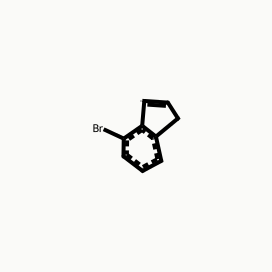 Brc1cccc2c1[C]=CC2